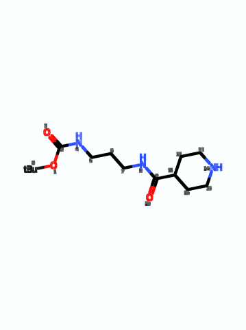 CC(C)(C)OC(=O)NCCCNC(=O)C1CCNCC1